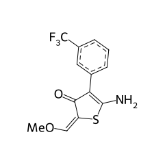 COC=C1SC(N)=C(c2cccc(C(F)(F)F)c2)C1=O